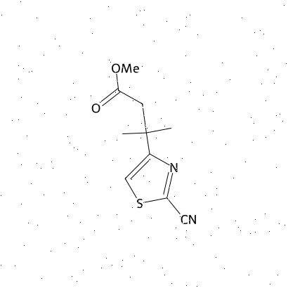 COC(=O)CC(C)(C)c1csc(C#N)n1